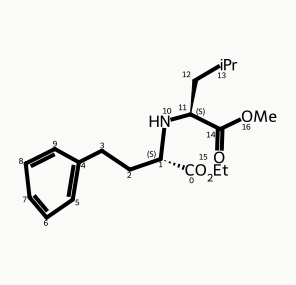 CCOC(=O)[C@H](CCc1ccccc1)N[C@@H](CC(C)C)C(=O)OC